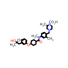 Cc1cc(N(C)C(=O)C2CCC(Oc3cccc(CC(C)(C)O)c3)CC2)ccc1CN1CCN(C(=O)O)[C@@H](C)C1